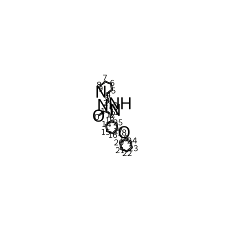 O=c1nc(-c2ccccn2)[nH]nc1-c1cccc(Oc2ccccc2)c1